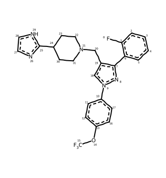 Fc1ccccc1-c1nn(-c2ccc(OC(F)(F)F)cc2)cc1CN1CCC(c2ncc[nH]2)CC1